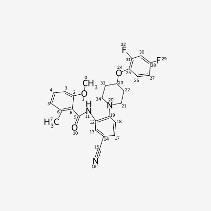 COc1cccc(C)c1C(=O)Nc1cc(C#N)ccc1N1CCC(Oc2ccc(F)cc2F)CC1